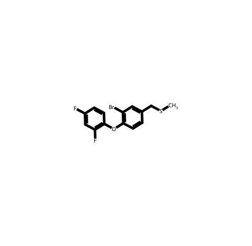 CSCc1ccc(Oc2ccc(F)cc2F)c(Br)c1